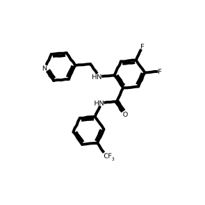 O=C(Nc1cccc(C(F)(F)F)c1)c1cc(F)c(F)cc1NCc1ccncc1